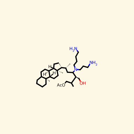 CC(=O)OCC(C)[C@H](CO)C(C[C@@H](C)[C@H]1CC[C@H]2[C@@H]3CCC4CCCC[C@]4(C)[C@H]3CC[C@]12C)N(CCCN)CCCCN